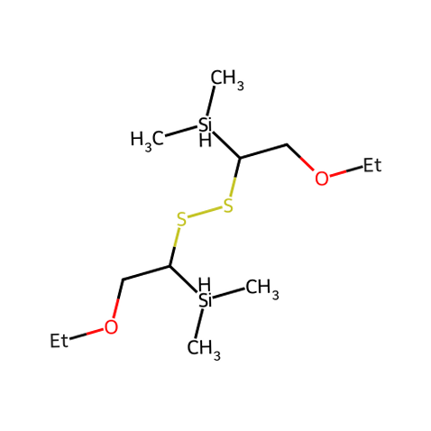 CCOCC(SSC(COCC)[SiH](C)C)[SiH](C)C